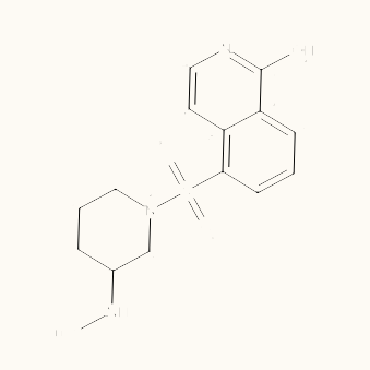 CCCNC1CCCN(S(=O)(=O)c2cccc3c(O)nccc23)C1